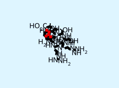 C[C@@H](O)[C@H](NC(=O)[C@@H]1CCCN1C(=O)[C@@H]1CCCN1C(=O)[C@@H](NC(=O)[C@@H](NC(=O)[C@H](CCCNC(=N)N)NC(=O)[C@H](CCCNC(=N)N)NC(=O)[C@@H](N)Cc1ccccc1)[C@@H](C)O)[C@@H](C)O)C(=O)O